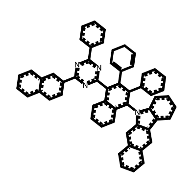 C1=CC(c2c(-c3ccccc3)c(-n3c4ccccc4c4cc5ccccc5cc43)c3ccccc3c2-c2nc(-c3ccccc3)nc(-c3ccc4ccccc4c3)n2)=CCC1